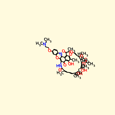 CCN(C)CCOc1ccc2nc3c4c5c6c(C)c(O)c4c(=O)c(c-3oc2c1)NC(=O)/C(C)=C\C=C\[C@H](C)[C@H](O)C[C@@H](O)[C@@H](C)[C@H](OC(C)=O)[C@H](C)[C@@H](OC)/C=C/O[C@@](C)(O6)C5=O